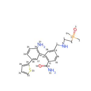 CP(C)(=O)CCNCc1ccc(C(N)=O)c(-c2cc(-c3cccs3)ccc2N)c1